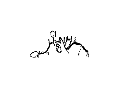 CCCCNP(=O)(Cl)CCCl